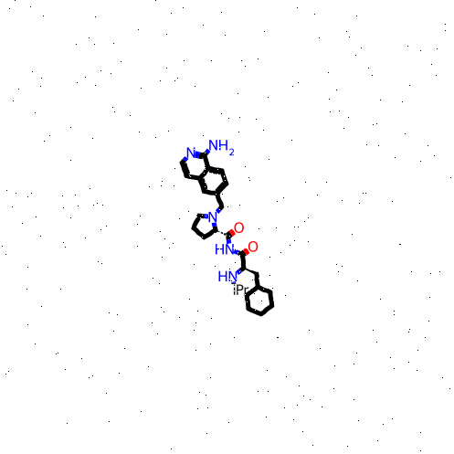 CC(C)N[C@H](CC1CCCCC1)C(=O)NC(=O)[C@@H]1CCCN1Cc1ccc2c(N)nccc2c1